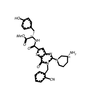 COC(=O)[C@H](Cc1ccc(O)cc1)NC(=O)c1cc2nc(N3CCC[C@@H](N)C3)n(Cc3ccccc3C#N)c(=O)c2s1